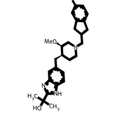 CO[C@H]1CN(CC2Cc3ccc(F)cc3C2)CC[C@H]1Cc1ccc2[nH]c(C(C)(C)O)nc2c1